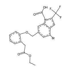 CCOC(=O)Cc1ccccc1OCc1cc(Br)c2cc(C(F)(F)F)n(C(=O)O)c2c1